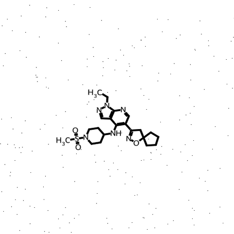 CCn1ncc2c(NC3CCN(S(C)(=O)=O)CC3)c(C3=NOC4(CCCC4)C3)cnc21